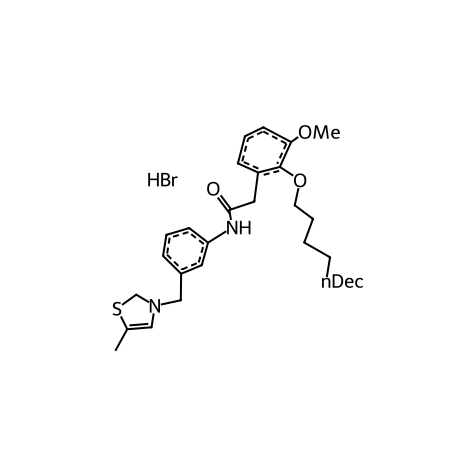 Br.CCCCCCCCCCCCCCOc1c(CC(=O)Nc2cccc(CN3C=C(C)SC3)c2)cccc1OC